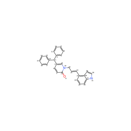 O=c1ccc(C(c2ccccc2)c2ccccc2)cn1C/C=C/c1cccc2c1C=C[N]2